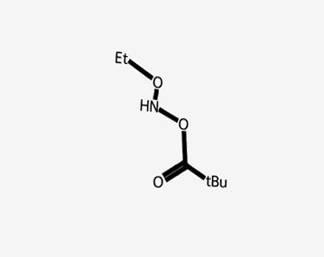 CCONOC(=O)C(C)(C)C